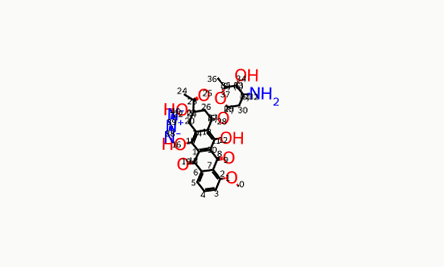 COc1cccc2c1C(=O)c1c(O)c3c(c(O)c1C2=O)C[C@@](O)(C(C)=O)C[C@@H]3O[C@H]1C[C@H](N)[C@H](O)[C@H](C)O1.[N-]=[N+]=[N-]